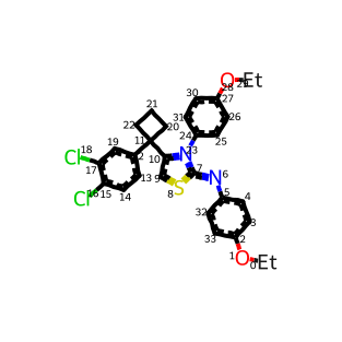 CCOc1ccc(N=c2scc(C3(c4ccc(Cl)c(Cl)c4)CCC3)n2-c2ccc(OCC)cc2)cc1